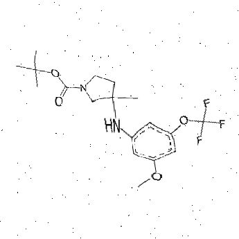 COc1cc(NC2(C)CCN(C(=O)OC(C)(C)C)C2)cc(OC(F)(F)F)c1